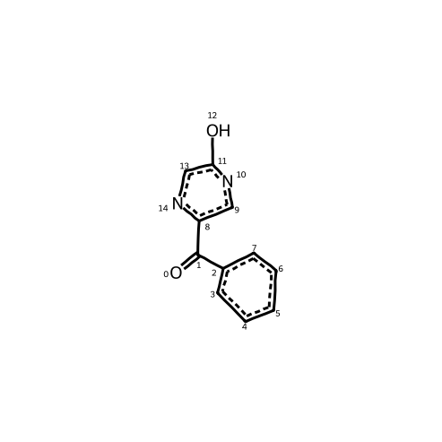 O=C(c1ccccc1)c1cnc(O)cn1